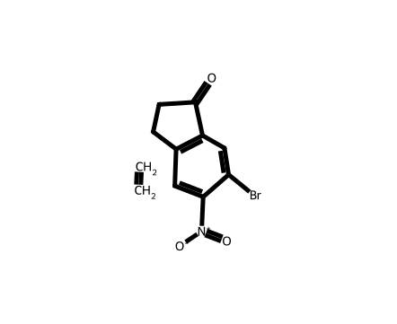 C=C.O=C1CCc2cc([N+](=O)[O-])c(Br)cc21